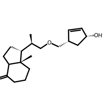 C[C@@H](COC[C@@H]1C=C[C@H](O)C1)[C@H]1CCC2C(=O)CCC[C@]21C